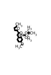 COc1ccc(CC(=O)c2ccc(C)o2)c(NC(=O)OC(C)(C)C)c1